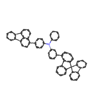 c1ccc(N(c2ccc(-c3ccc4c5c(cccc35)-c3ccccc3-4)cc2)c2cccc(-c3cccc4c3-c3ccccc3C43c4ccccc4-c4ccccc43)c2)cc1